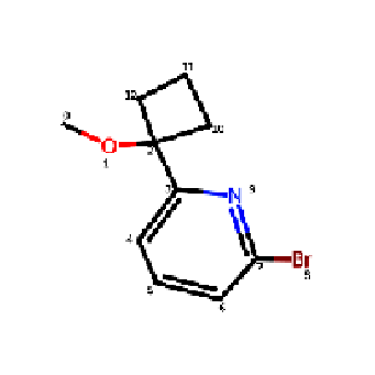 COC1(c2cccc(Br)n2)CCC1